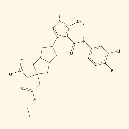 CCOC(=O)CC1(C[N+](=O)[O-])CC2CC(c3nn(C)c(N)c3C(=O)Nc3ccc(F)c(Cl)c3)CC2C1